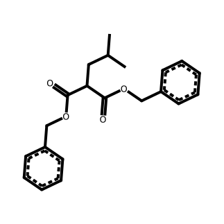 CC(C)CC(C(=O)OCc1ccccc1)C(=O)OCc1ccccc1